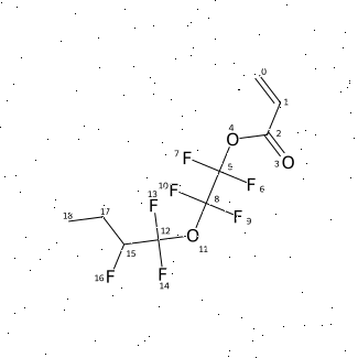 C=CC(=O)OC(F)(F)C(F)(F)OC(F)(F)C(F)CC